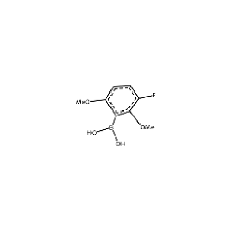 COc1ccc(F)c(OC)c1B(O)O